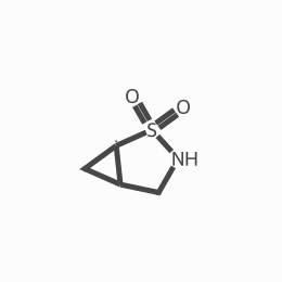 O=S1(=O)NCC2C[C]21